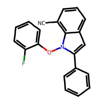 N#Cc1cccc2cc(-c3ccccc3)n(Oc3ccccc3F)c12